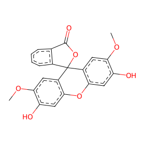 COc1cc2c(cc1O)Oc1cc(O)c(OC)cc1C21OC(=O)c2ccccc21